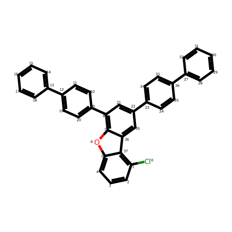 Clc1cccc2oc3c(-c4ccc(-c5ccccc5)cc4)cc(-c4ccc(-c5ccccc5)cc4)cc3c12